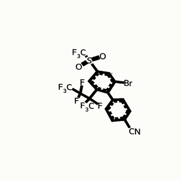 N#Cc1ccc(-c2c(Br)[c]c(S(=O)(=O)C(F)(F)F)cc2C(F)(C(F)(F)F)C(F)(F)C(F)(F)F)cc1